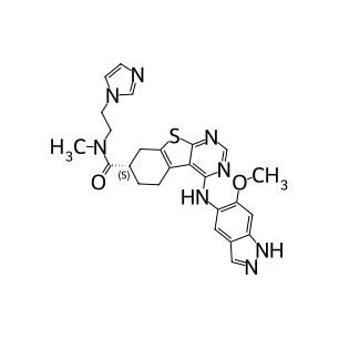 COc1cc2[nH]ncc2cc1Nc1ncnc2sc3c(c12)CC[C@H](C(=O)N(C)CCn1ccnc1)C3